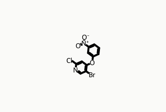 O=[N+]([O-])c1cccc(Oc2cc(Cl)ncc2Br)c1